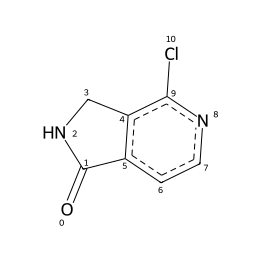 O=C1NCc2c1ccnc2Cl